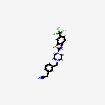 N#CCc1cccc(CN2CCN(c3nc4ccc(C(F)(F)F)cc4s3)CC2)c1